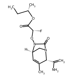 C=C(N)[C@@H]1C(C)=C[C@@H]2CN1C(=O)N2O[C@@H](F)C(=O)O[C@@H](C)CC